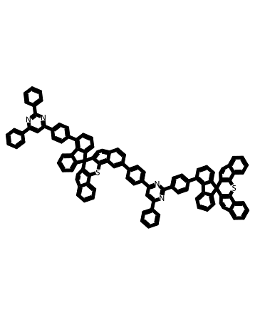 c1ccc(-c2cc(-c3ccc(-c4cccc5c4-c4ccccc4C54c5ccc6ccccc6c5Sc5c4ccc4ccc(-c6ccc(-c7cc(-c8ccccc8)nc(-c8ccc(-c9cccc%10c9-c9ccccc9C%109c%10ccc%11ccccc%11c%10Sc%10c9ccc9ccccc%109)cc8)n7)cc6)cc54)cc3)nc(-c3ccccc3)n2)cc1